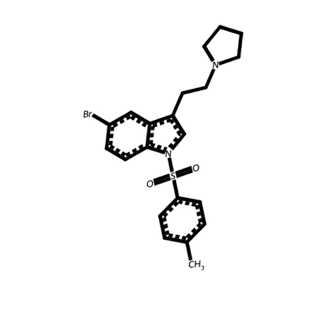 Cc1ccc(S(=O)(=O)n2cc(CCN3CCCC3)c3cc(Br)ccc32)cc1